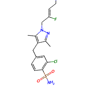 Cc1nn(CC(F)=CCN)c(C)c1Cc1ccc(S(N)(=O)=O)c(Cl)c1